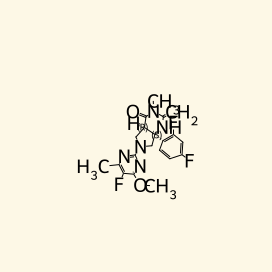 C=C1N[C@@]2(c3ccc(F)cc3F)CN(c3nc(C)c(F)c(OC)n3)C[C@H]2C(=O)N1C